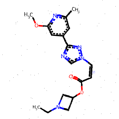 CCN1CC(OC(=O)/C=C\n2cnc(-c3cc(C)nc(OC)c3)n2)C1